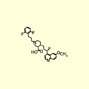 COc1ccc2nccc([C@H](F)CC[C@@H]3CCN(CCCc4c(F)cccc4F)C[C@@H]3C(=O)O)c2c1